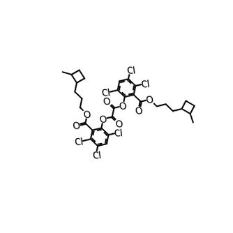 CC1CCC1CCCOC(=O)c1c(Cl)c(Cl)cc(Cl)c1OC(=O)C(=O)Oc1c(Cl)cc(Cl)c(Cl)c1C(=O)OCCCC1CCC1C